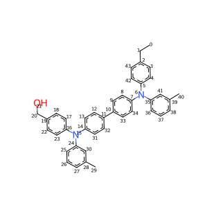 CCc1ccc(N(c2ccc(-c3ccc(N(c4ccc(CO)cc4)c4cccc(C)c4)cc3)cc2)c2cccc(C)c2)cc1